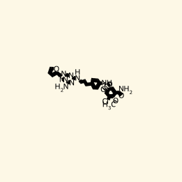 COc1c(Cl)cc(S(=O)(=O)Nc2ccc(CCCNc3nc(N)n4nc(-c5ccco5)nc4n3)cc2)cc1C(N)=O